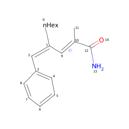 CCCCCCC(=Cc1ccccc1)/C=C(\C)C(N)=O